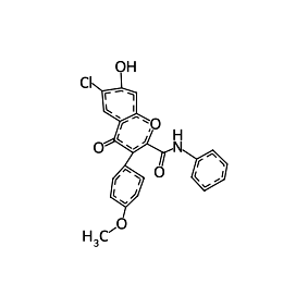 COc1ccc(-c2c(C(=O)Nc3ccccc3)oc3cc(O)c(Cl)cc3c2=O)cc1